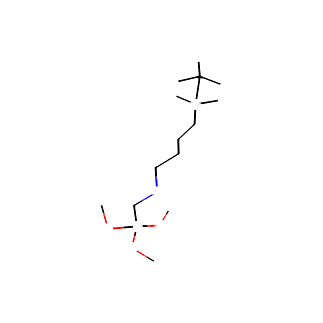 CO[Si](CNCCCC[Si](C)(C)C(C)(C)C)(OC)OC